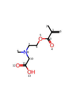 C=C(C)C(=O)OCCN(C)CC(=O)O